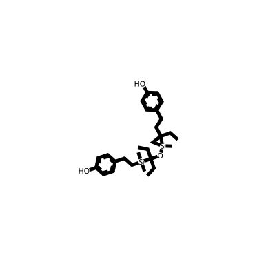 CCC(CC)(O[Si]1(C)CC1(CC)CCc1ccc(O)cc1)[Si](C)(C)CCc1ccc(O)cc1